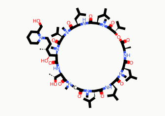 CC(C)C[C@@H]1C(=O)N[C@H](CC(C)C)C(=O)N(C)[C@H](C(C)C)C(=O)N(C)[C@H]([C@H](O)[C@H](C)CCN2CCCCC2CO)C(=O)N[C@H]([C@@H](C)O)C(=O)N(C)CC(=O)N(C)[C@@H](CC(C)C)C(=O)N[C@H](CC(C)C)C(=O)N(C)[C@H](CC(C)C)C(=O)N[C@H](C)C(=O)O[C@@H](C(C)C)C(=O)N1C